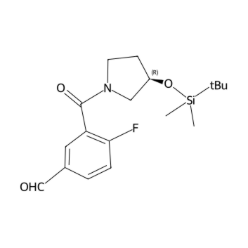 CC(C)(C)[Si](C)(C)O[C@@H]1CCN(C(=O)c2cc(C=O)ccc2F)C1